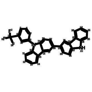 FC(F)(F)c1cccc(-n2c3ccccc3c3cc(-c4ccc5[nH]c6ccccc6c5c4)ccc32)c1